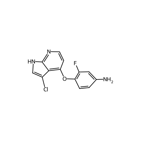 Nc1ccc(Oc2ccnc3[nH]cc(Cl)c23)c(F)c1